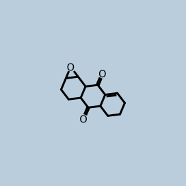 O=C1C2CCCC=C2C(=O)C2C1CCC1OC12